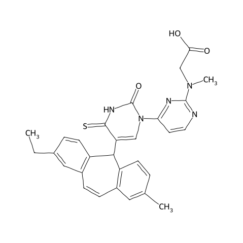 CCc1ccc2c(c1)C=Cc1cc(C)ccc1C2c1cn(-c2ccnc(N(C)CC(=O)O)n2)c(=O)[nH]c1=S